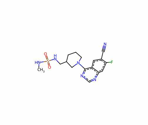 CNS(=O)(=O)NCC1CCCN(c2ncnc3cc(F)c(C#N)cc23)C1